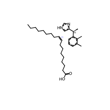 CCCCCCCC/C=C\CCCCCCCC(=O)O.Cc1cccc([C@H](C)c2c[nH]cn2)c1C